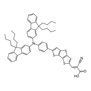 CCCCC1(CCCC)c2ccccc2-c2ccc(N(c3ccc(-c4cc5sc6cc(/C=C(\C#N)C(=O)O)sc6c5s4)cc3)c3ccc4c(c3)C(CCCC)(CCCC)c3ccccc3-4)cc21